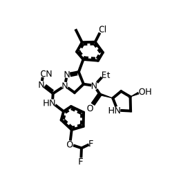 CCN(C(=O)[C@H]1C[C@@H](O)CN1)C1CN(/C(=N\C#N)Nc2cccc(OC(F)F)c2)N=C1c1ccc(Cl)c(C)c1